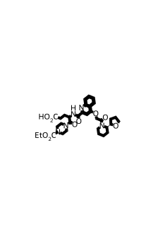 CCOC(=O)N1CCN(C(=O)C(CCC(=O)O)NC(=O)c2cc(OCC(=O)N3CCCCC3[C@@H]3CCCO3)c3ccccc3n2)CC1